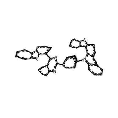 c1ccc2c(-c3cccc4c3oc3ccccc34)nc(-c3ccc(-n4c5ccccc5c5ccc6sc7ccccc7c6c54)cc3)nc2c1